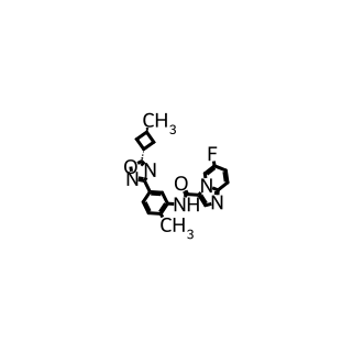 Cc1ccc(-c2noc([C@H]3C[C@H](C)C3)n2)cc1NC(=O)c1cnc2ccc(F)cn12